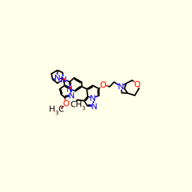 CCc1cnn2cc(OCCN3CC4CCOCC3C4)cc(-c3ccc(N4CC5CC(C4)N5Cc4ccc(OC)nc4)nc3)c12